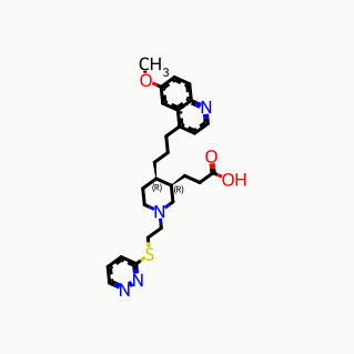 COc1ccc2nccc(CCC[C@@H]3CCN(CCSc4cccnn4)C[C@@H]3CCC(=O)O)c2c1